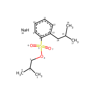 CC(C)COS(=O)(=O)c1ccccc1CC(C)C.[NaH]